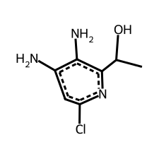 CC(O)c1nc(Cl)cc(N)c1N